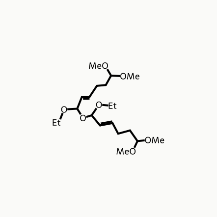 CCOC(C=CCCC(OC)OC)OC(C=CCCC(OC)OC)OCC